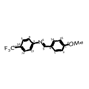 COc1ccc(C=Nc2ccc(C(F)(F)F)cc2)cc1